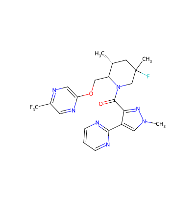 C[C@@H]1CC(C)(F)CN(C(=O)c2nn(C)cc2-c2ncccn2)C1COc1cnc(C(F)(F)F)cn1